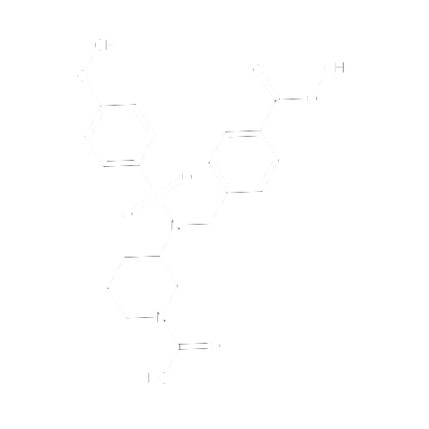 COC(=O)c1ccc(CN(C2CCCN(C(C)=O)C2)S(=O)(=O)c2ccc(OC)cc2)cc1